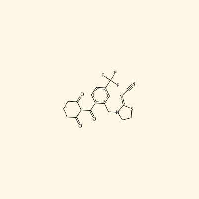 N#CN=C1SCCN1Cc1cc(C(F)(F)F)ccc1C(=O)C1C(=O)CCCC1=O